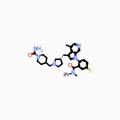 Cc1cncc2c1c(C[C@@H]1CCN(CC3CCN(C(N)=O)CC3)C1)cn2-c1ccc(F)cc1C(=O)N(C)C(C)C